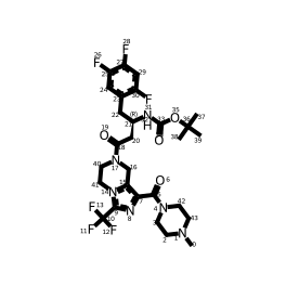 CN1CCN(C(=O)c2nc(C(F)(F)F)n3c2CN(C(=O)C[C@@H](Cc2cc(F)c(F)cc2F)NC(=O)OC(C)(C)C)CC3)CC1